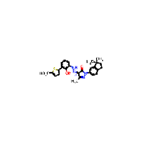 CC1=NN(c2ccc3c(c2)C(C)(C)CC3)C(=O)/C1=N\Nc1cccc(C2CC=C(C(=O)O)S2)c1O